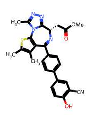 COC(=O)C[C@@H]1N=C(c2ccc(-c3ccc(O)c(C#N)c3)cc2)c2c(sc(C)c2C)-n2c(C)nnc21